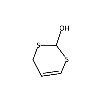 OC1SC=CCS1